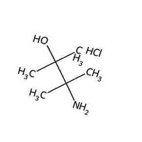 CC(C)(N)C(C)(C)O.Cl